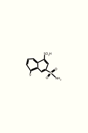 NS(=O)(=O)c1cc(S(=O)(=O)O)c2cccc([S])c2c1